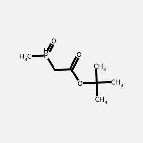 C[PH](=O)CC(=O)OC(C)(C)C